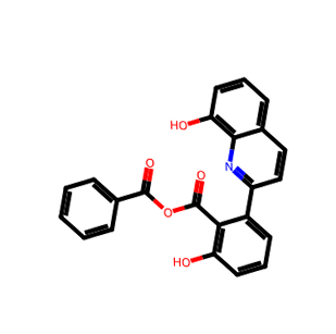 O=C(OC(=O)c1c(O)cccc1-c1ccc2cccc(O)c2n1)c1ccccc1